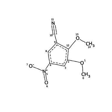 COc1cc([N+](=O)[O-])cc(C#N)c1OC